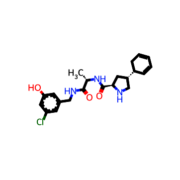 C[C@H](NC(=O)[C@H]1C[C@H](C2C=CC=CC2)CN1)C(=O)NCc1cc(O)cc(Cl)c1